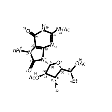 CCCn1c(=O)n([C@@H]2O[C@H]([C@H](CC)OC(C)=O)[C@H](F)[C@H]2OC(C)=O)c2nc(NC(C)=O)[nH]c(=O)c21